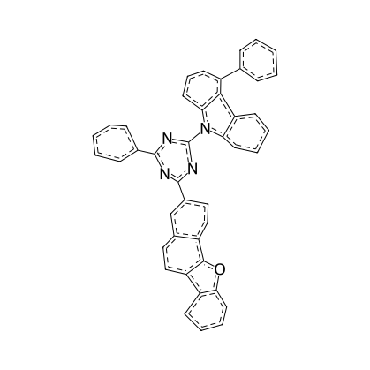 c1ccc(-c2nc(-c3ccc4c(ccc5c6ccccc6oc45)c3)nc(-n3c4ccccc4c4c(-c5ccccc5)cccc43)n2)cc1